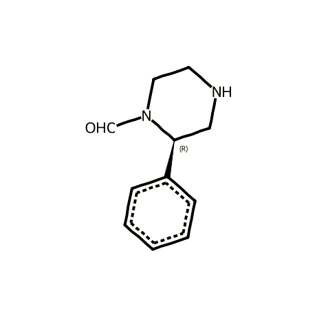 O=CN1CCNC[C@H]1c1ccccc1